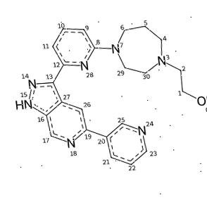 OCCN1CCCN(c2cccc(-c3n[nH]c4cnc(-c5cccnc5)cc34)n2)CC1